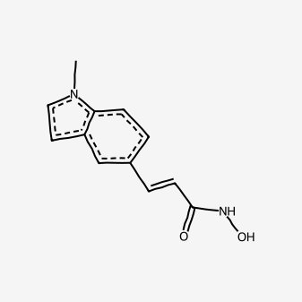 Cn1ccc2cc(/C=C/C(=O)NO)ccc21